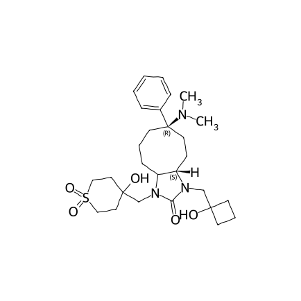 CN(C)[C@]1(c2ccccc2)CCCC2[C@H](CC1)N(CC1(O)CCC1)C(=O)N2CC1(O)CCS(=O)(=O)CC1